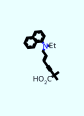 CCN(C/C=C/C#CC(C)(C)C(=O)O)c1cccc2ccccc12